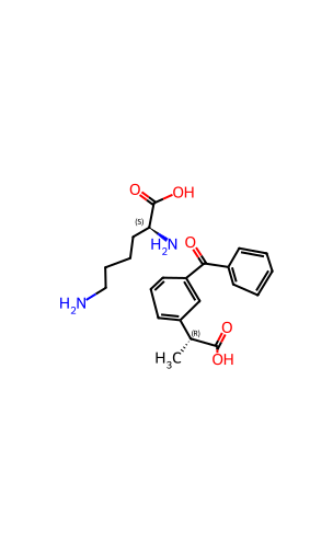 C[C@@H](C(=O)O)c1cccc(C(=O)c2ccccc2)c1.NCCCC[C@H](N)C(=O)O